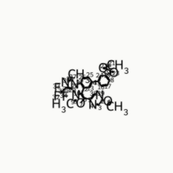 COc1cnc(-c2oc(C)nc2-c2cc(-c3cccc(S(C)(=O)=O)c3)ccc2-n2cc(C(F)(F)F)nc2C)cn1